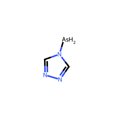 [AsH2]n1cnnc1